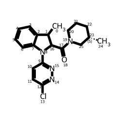 CC1c2ccccc2N(c2ccc(Cl)nn2)C1C(=O)N1CCC[C@H](C)C1